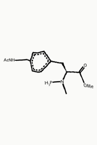 COC(=O)[C@H](Cc1ccc(NC(C)=O)cc1)N(C)P